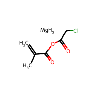 C=C(C)C(=O)OC(=O)CCl.[MgH2]